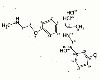 CNCCOc1ccc(CC(C)NCC(O)c2cccc(Cl)c2)cc1.Cl.Cl